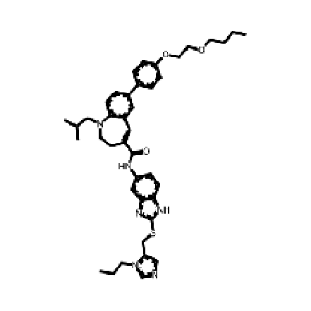 CCCCOCCOc1ccc(-c2ccc3c(c2)C=C(C(=O)Nc2ccc4[nH]c(SCc5cncn5CCC)nc4c2)CCN3CC(C)C)cc1